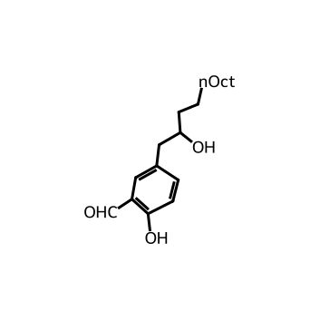 CCCCCCCCCCC(O)Cc1ccc(O)c(C=O)c1